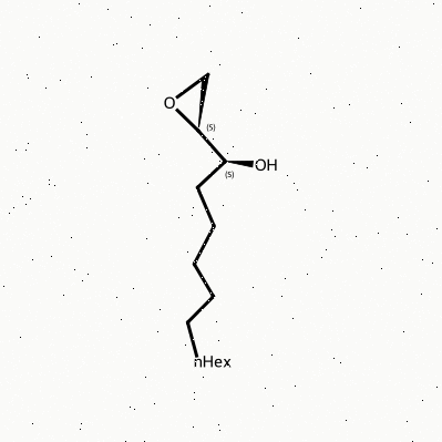 CCCCCCCCCCC[C@H](O)[C@@H]1CO1